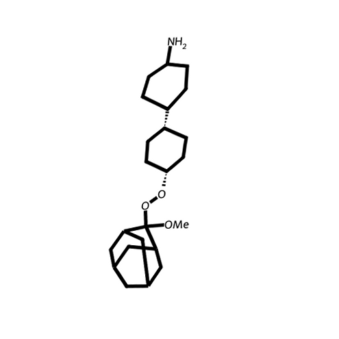 COC1(OO[C@H]2CC[C@@H](C3CCC(N)CC3)CC2)C2CC3CC(C2)CC1C3